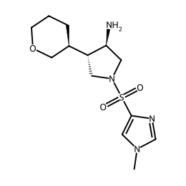 Cn1cnc(S(=O)(=O)N2C[C@H]([C@@H]3CCCOC3)[C@@H](N)C2)c1